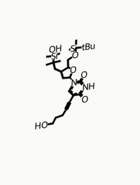 CC(C)(CC1C[C@H](n2cc(C#CCCCO)c(=O)[nH]c2=O)OC1CO[Si](C)(C)C(C)(C)C)[Si](C)(C)O